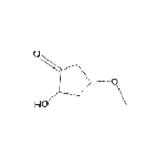 COC1CC(=O)C(O)C1